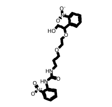 O=C(NCCCOCCOC(CO)c1ccccc1[N+](=O)[O-])Nc1ccccc1[N+](=O)[O-]